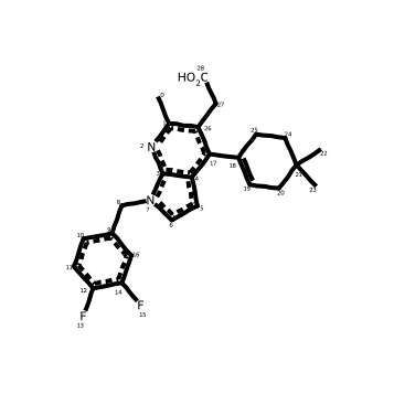 Cc1nc2c(ccn2Cc2ccc(F)c(F)c2)c(C2=CCC(C)(C)CC2)c1CC(=O)O